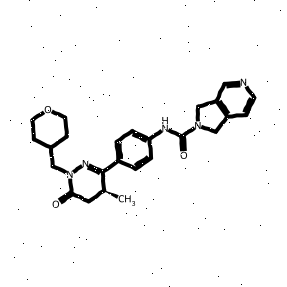 C[C@H]1CC(=O)N(CC2CCOCC2)N=C1c1ccc(NC(=O)N2Cc3ccncc3C2)cc1